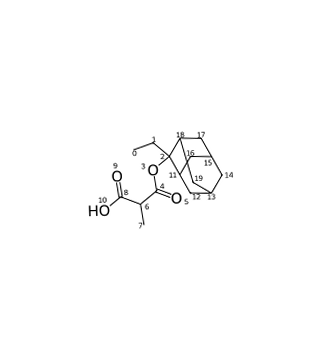 CCC1(OC(=O)C(C)C(=O)O)C2CC3CC(C2)CC1C3